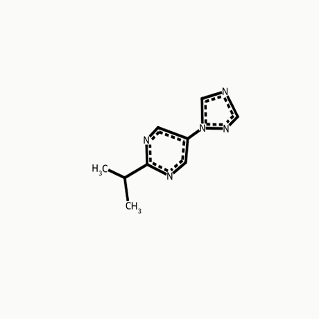 CC(C)c1ncc(-n2cncn2)cn1